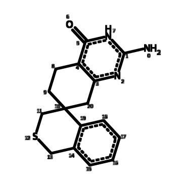 Nc1nc2c(c(=O)[nH]1)CCC1(CSCc3ccccc31)C2